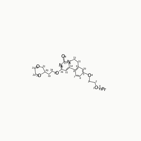 CCCOCCOc1ccc2c(c1)CCn1c-2cc(OCCC2COCCO2)nc1=O